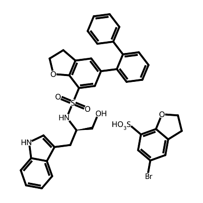 O=S(=O)(N[C@@H](CO)Cc1c[nH]c2ccccc12)c1cc(-c2ccccc2-c2ccccc2)cc2c1OCC2.O=S(=O)(O)c1cc(Br)cc2c1OCC2